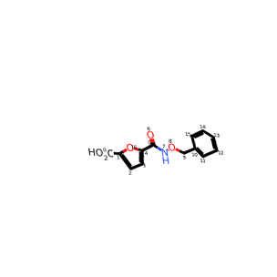 O=C(O)c1ccc(C(=O)NOCc2ccccc2)o1